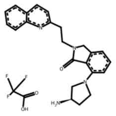 N[C@@H]1CCN(c2cccc3c2C(=O)N(CCc2ccc4ccccc4n2)C3)C1.O=C(O)C(F)(F)F